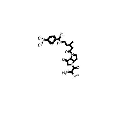 CCN(CC)c1ccc(C(=O)NCCC(C)CC(=O)N2CCC3C2C(=O)CN3C(=O)C(N)C(C)(C)C)cc1